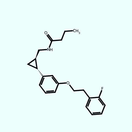 CCCC(=O)NC[C@@H]1C[C@H]1c1cccc(OCCc2ccccc2F)c1